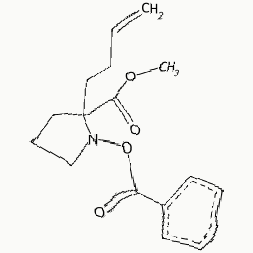 C=CCCC1(C(=O)OC)CCCN1OC(=O)c1ccccc1